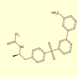 C[C@H](Cc1ccc(S(=O)(=O)c2cccc(-c3cccc(C(=O)O)c3)c2)cc1)NC(=O)C(F)(F)F